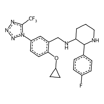 Fc1ccc(C2NCCCC2NCc2cc(-n3nnnc3C(F)(F)F)ccc2OC2CC2)cc1